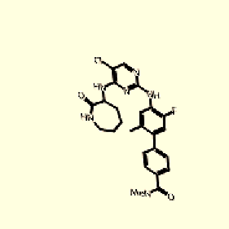 CNC(=O)c1ccc(-c2cc(F)c(Nc3ncc(Cl)c(NC4CCCCNC4=O)n3)cc2C)cc1